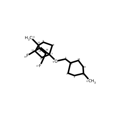 CC1CCC(COC23CCC(C)(CC2)C(F)=C3F)CC1